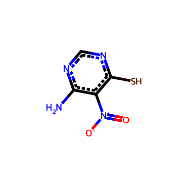 Nc1ncnc(S)c1[N+](=O)[O-]